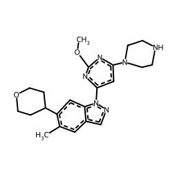 COc1nc(N2CCNCC2)cc(-n2ncc3cc(C)c(C4CCOCC4)cc32)n1